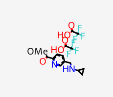 COC(=O)c1ccc(CNC2CC2)cn1.O=C(O)C(F)(F)F.O=C(O)C(F)(F)F